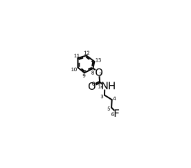 O=C(NCCCF)Oc1ccccc1